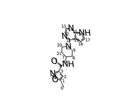 Cc1cc(C(=O)NC2CCN(c3ncnc4[nH]ccc34)CC2)no1